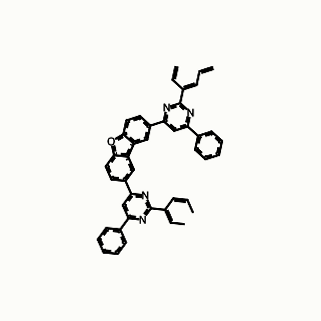 C=C/C=C(\C=C)c1nc(-c2ccccc2)cc(-c2ccc3oc4ccc(-c5cc(-c6ccccc6)nc(C(/C=C\C)=C/C)n5)cc4c3c2)n1